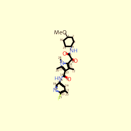 CO[C@H]1CC[C@@H](NC(=O)C(=O)c2c(C)c(C(=O)Nc3cnc(F)c(C)c3)c(C)n2C)CC1